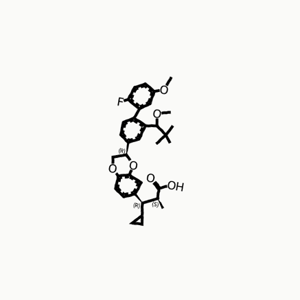 COc1ccc(F)c(-c2ccc([C@@H]3COc4ccc([C@H](C5CC5)[C@H](C)C(=O)O)cc4O3)cc2C(OC)C(C)(C)C)c1